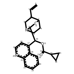 C=CC1CN2CCC1CC2C(OC(=O)C1CC1)c1ccnc2ccccc12